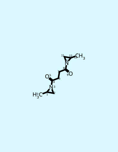 CC1CN1C(=O)CCC(=O)N1CC1C